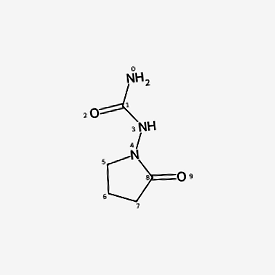 NC(=O)NN1CCCC1=O